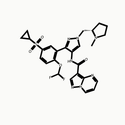 CN1CCC[C@H]1Cn1cc(NC(=O)c2cnn3cccnc23)c(-c2cc(S(=O)(=O)C3CC3)ccc2OC(F)F)n1